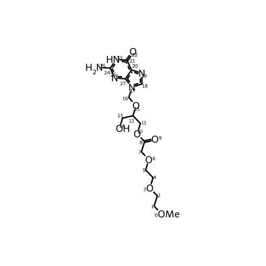 COCCOCCOCC(=O)OCC(CO)OCn1cnc2c(=O)[nH]c(N)nc21